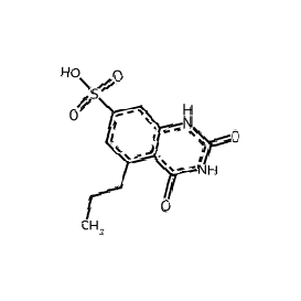 CCCc1cc(S(=O)(=O)O)cc2[nH]c(=O)[nH]c(=O)c12